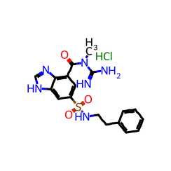 CN(C(=N)N)C(=O)c1cc(S(=O)(=O)NCCc2ccccc2)cc2[nH]cnc12.Cl